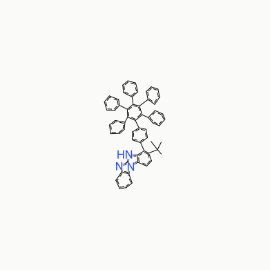 CC(C)(C)c1ccc2c([nH]c3nc4ccccc4n32)c1-c1ccc(-c2c(-c3ccccc3)c(-c3ccccc3)c(-c3ccccc3)c(-c3ccccc3)c2-c2ccccc2)cc1